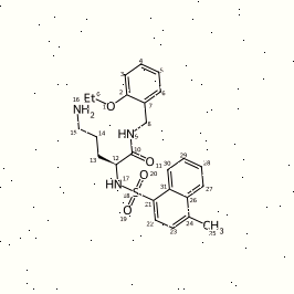 CCOc1ccccc1CNC(=O)[C@H](CCCN)NS(=O)(=O)c1ccc(C)c2ccccc12